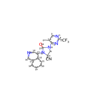 Cc1cnc(C(F)(F)F)nc1N1CC(C#N)N(c2cncc3ccccc23)C1=O